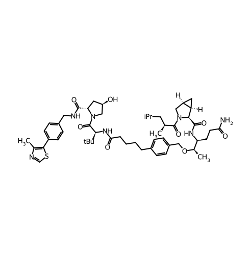 Cc1ncsc1-c1ccc(CNC(=O)[C@@H]2C[C@@H](O)CN2C(=O)[C@@H](NC(=O)CCCCc2ccc(CO[C@H](C)[C@H](CCC(N)=O)NC(=O)[C@@H]3[C@@H]4C[C@@H]4CN3C(=O)[C@@H](C)CC(C)C)cc2)C(C)(C)C)cc1